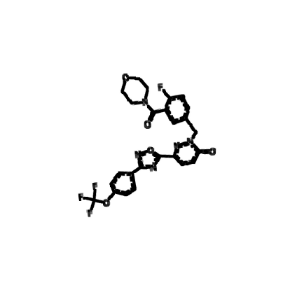 O=C(c1cc(Cn2nc(-c3nc(-c4ccc(OC(F)(F)F)cc4)no3)ccc2=O)ccc1F)N1CCOCC1